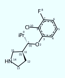 CC(C)[C@H](Oc1cccc(F)c1Cl)[C@H]1CCNC1